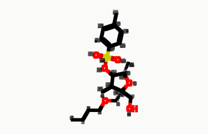 CCCCOC[C@@]1(CO)O[C@@H](C)C(OS(=O)(=O)c2ccc(C)cc2)C1C